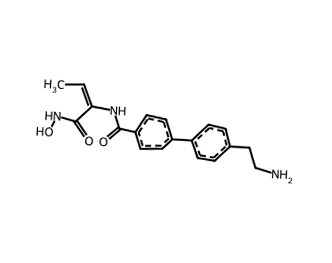 CC=C(NC(=O)c1ccc(-c2ccc(CCN)cc2)cc1)C(=O)NO